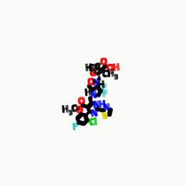 COC(=O)C1=C(CN2CC(F)(F)[C@H]3[C@@H]2CON3C[C@H](OC)C(C)(C)C(=O)O)NC(c2nccs2)=N[C@H]1c1ccc(F)cc1Cl